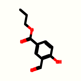 CCCOC(=O)c1ccc(O)c(C=O)c1